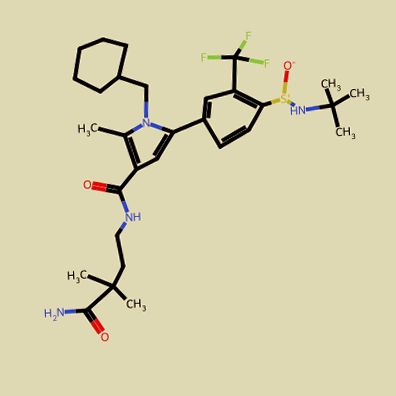 Cc1c(C(=O)NCCC(C)(C)C(N)=O)cc(-c2ccc([S+]([O-])NC(C)(C)C)c(C(F)(F)F)c2)n1CC1CCCCC1